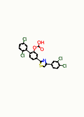 O=C(O)Oc1cc(-c2nc(-c3ccc(Cl)c(Cl)c3)cs2)ccc1-c1cc(Cl)ccc1Cl